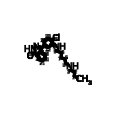 CCCCNCCCCCNc1cc(-c2n[nH]c(=O)c3ccccc23)ccc1Cl